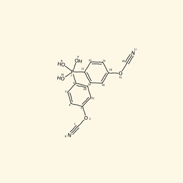 N#COc1ccc(P(O)(O)(O)c2ccc(OC#N)cc2)cc1